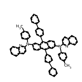 Cc1ccc(N(c2ccc3c(-c4ccc(-c5ccccc5)cc4)c4cc(N(c5ccc(C)cc5)c5ccc6ccccc6n5)ccc4c(-c4ccc(-c5ccccc5)cc4)c3c2)c2ccc3ccccc3n2)cc1